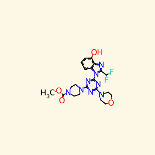 COC(=O)N1CCN(c2nc(N3CCOCC3)nc(-n3c(C(F)F)nc4c(O)cccc43)n2)CC1